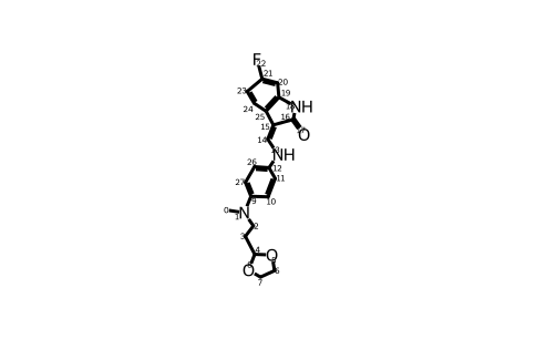 CN(CCC1OCCO1)c1ccc(NC=C2C(=O)Nc3cc(F)ccc32)cc1